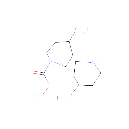 CCCCOC(=O)N1CCC(C(=O)O)CC1.O=C(O)C1CCNCC1